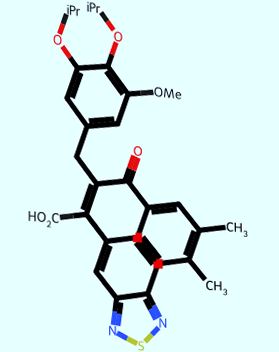 COc1cc(C/C(C(=O)c2ccc(C)c(C)c2)=C(\C(=O)O)c2ccc3nsnc3c2)cc(OC(C)C)c1OC(C)C